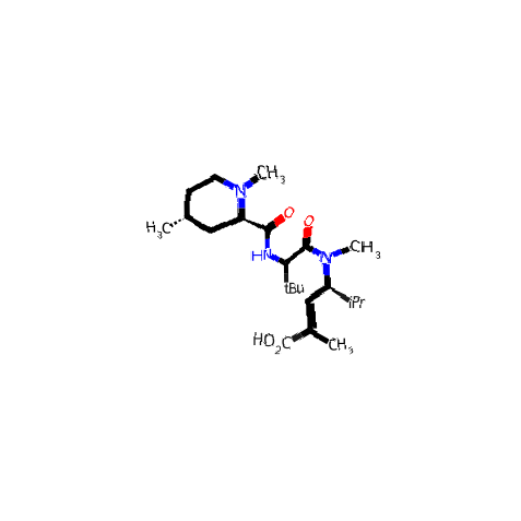 C/C(=C\[C@H](C(C)C)N(C)C(=O)C(NC(=O)[C@H]1C[C@H](C)CCN1C)C(C)(C)C)C(=O)O